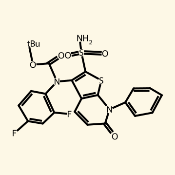 CC(C)(C)OC(=O)N(c1ccc(F)cc1F)c1c(S(N)(=O)=O)sc2c1ccc(=O)n2-c1ccccc1